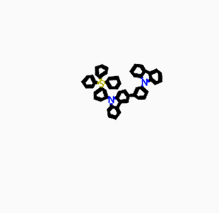 c1ccc(S(c2ccccc2)(c2ccccc2)c2cccc(-n3c4ccccc4c4cc(-c5cccc(-n6c7ccccc7c7ccccc76)c5)ccc43)c2)cc1